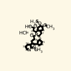 COc1cc2c(cc1OC)C(CC(=O)O)N(C(=O)C=Cc1c(-c3ccccc3)n(C)c3ncccc13)CC2.Cl